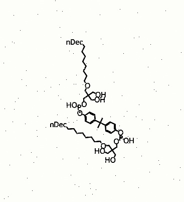 CCCCCCCCCCCCCCCCCCOCC(CO)(CO)COP(O)Oc1ccc(C(C)(C)c2ccc(OP(O)OCC(CO)(CO)COCCCCCCCCCCCCCCCCCC)cc2)cc1